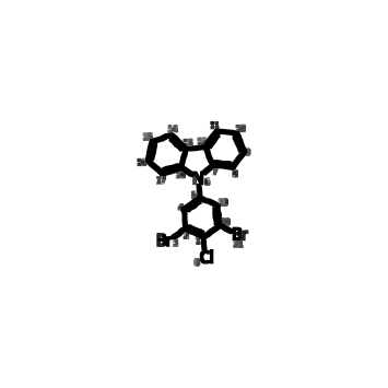 Clc1c(Br)cc(-n2c3ccccc3c3ccccc32)cc1Br